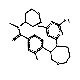 Cc1cc(N2CCCOCC2c2ccc(C(=O)N(C)C3CCOCC3)cc2C)nc(N)n1